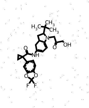 CC(C)(C)C1CC2CC(NC(=O)C3(c4ccc5c(c4)OC(F)(F)O5)CC3)=CC=C2N1CC(=O)CO